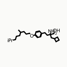 CC(C)CCCC(C)CCCOc1ccc(CCC(N)(CO)CC2CCC2)cc1